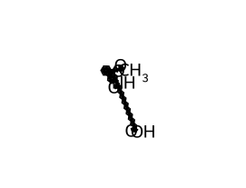 CC(=O)OCC1c2ccccc2-c2ccc(NC(=O)CCCCCCCCCCCCCCCC(=O)O)cc21